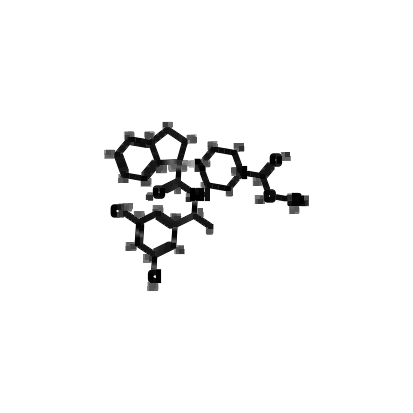 CC(NC(=O)[C@]1(N2CCN(C(=O)OC(C)(C)C)CC2)CCc2ccccc21)c1cc(Cl)cc(Cl)c1